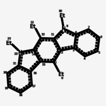 CCc1c2c3ccccc3n(CC)c2c(CC)c2c1c1ccccc1n2CC